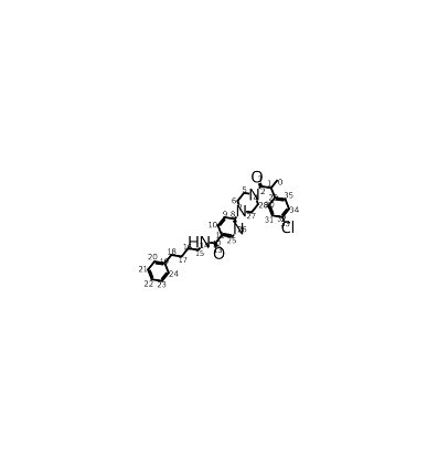 CC(C(=O)N1CCN(c2ccc(C(=O)NCCCCc3ccccc3)cn2)CC1)c1ccc(Cl)cc1